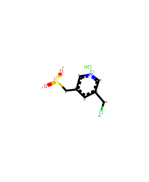 Cl.O=[SH](=O)Cc1cncc(CCl)c1